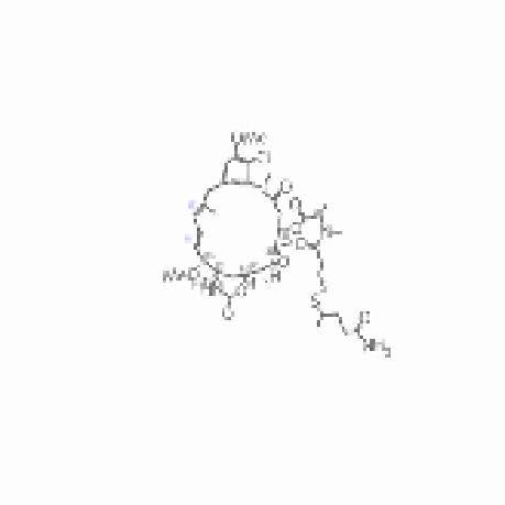 COc1cc2cc(c1Cl)N(C)C(=O)C[C@H](OC(=O)[C@@H](C)N(C)C(=O)CCSSC(C)CCC(N)=O)[C@]1(C)O[C@H]1[C@H](C)[C@@H]1C[C@@](O)(NC(=O)O1)[C@H](OC)/C=C/C=C(\C)C2